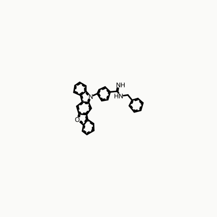 N=C(NCc1ccccc1)c1ccc(-n2c3ccccc3c3cc4oc5ccccc5c4cc32)cc1